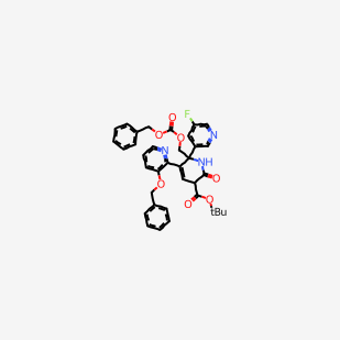 CC(C)(C)OC(=O)C1C=C(c2ncccc2OCc2ccccc2)C(COC(=O)OCc2ccccc2)(c2cncc(F)c2)NC1=O